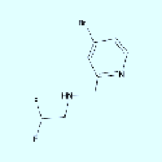 FC(F)CNCc1cc(Br)ccn1